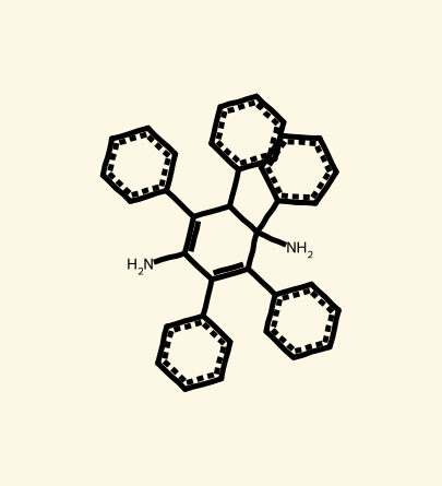 NC1=C(c2ccccc2)C(c2ccccc2)C(N)(c2ccccc2)C(c2ccccc2)=C1c1ccccc1